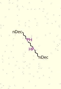 CCCCCCCCCCCCCCPCCCCPCCCCCCCCCCCCCC